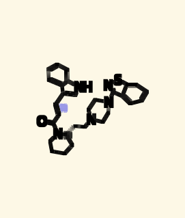 O=C(/C=C/c1c[nH]c2ccccc12)N1CCCC[C@H]1CCN1CCN(c2nsc3ccccc23)CC1